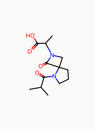 CC(C)C(=O)N1CCCC12CN(C(C)C(=O)O)C2=O